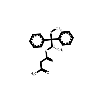 COC(c1ccccc1)(c1ccccc1)[C@H](C)OC(=O)CC(C)=O